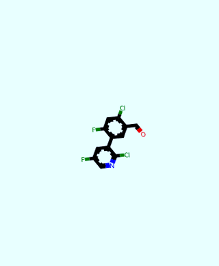 O=Cc1cc(-c2cc(F)cnc2Cl)c(F)cc1Cl